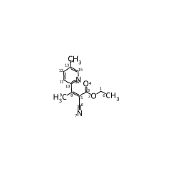 CCOC(=O)C(C#N)=C(C)c1ccc(C)cn1